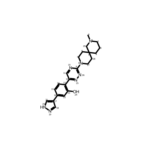 CN1CCCC2(CCN(c3ncc(-c4ccc(-c5cn[nH]c5)cc4O)nn3)CC2)C1